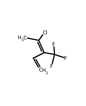 C=C/C(=C(\C)Cl)C(F)(F)F